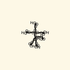 O=C(O)COCCOCC(COCCOCC(=O)O)(COCCOCC(=O)O)COCC(COCCOCC(=O)O)(COCCOCC(=O)O)COCCOCC(=O)O